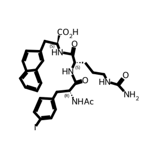 CC(=O)N[C@H](Cc1ccc(I)cc1)C(=O)N[C@@H](CCCNC(N)=O)C(=O)N[C@@H](Cc1ccc2ccccc2c1)C(=O)O